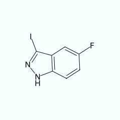 Fc1ccc2[nH]nc(I)c2c1